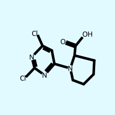 O=C(O)C1CCCCN1c1cc(Cl)nc(Cl)n1